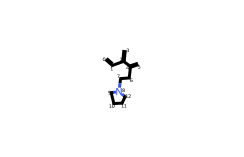 C=CC(=C)C(=C)CCN1CCCC1